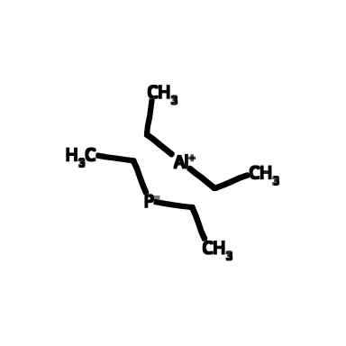 CC[P-]CC.C[CH2][Al+][CH2]C